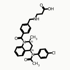 CC(=O)N(c1ccc(Cl)cc1)[C@@H]1C[C@H](C)N(C(=O)c2ccc(CNCCC(=O)O)cc2)c2ccccc21